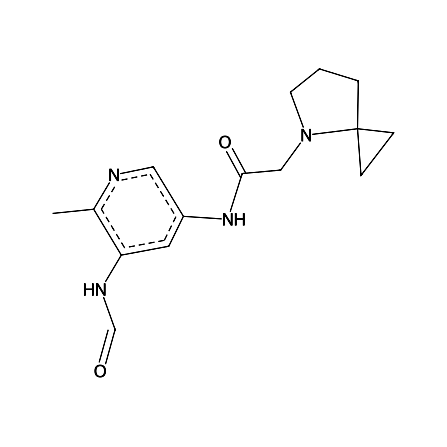 Cc1ncc(NC(=O)CN2CCCC23CC3)cc1NC=O